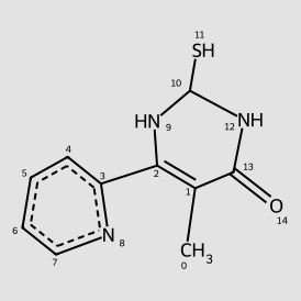 CC1=C(c2ccccn2)NC(S)NC1=O